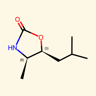 CC(C)C[C@@H]1OC(=O)N[C@@H]1C